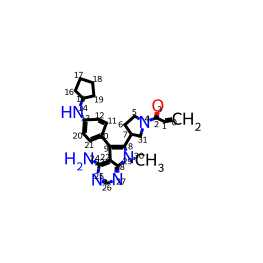 C=CC(=O)N1CCC(c2c(-c3ccc(NC4CCCC4)cc3)c3c(N)ncnc3n2C)C1